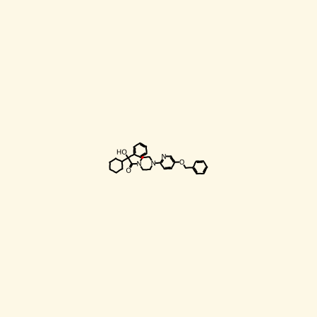 O=C(N1CCN(c2ccc(OCc3ccccc3)cn2)CC1)C(O)(c1ccccc1)C1CCCCC1